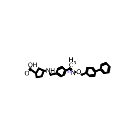 C/C(=N\OCc1ccc(-c2ccccc2)cc1)c1ccc(CNC2CCC(C(=O)O)C2)cc1